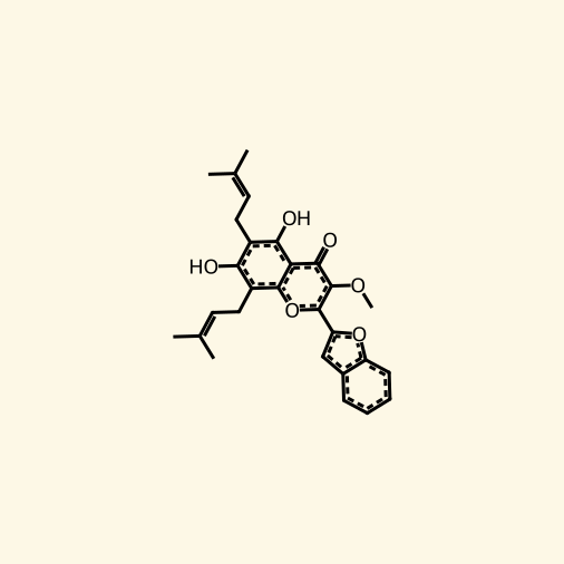 COc1c(-c2cc3ccccc3o2)oc2c(CC=C(C)C)c(O)c(CC=C(C)C)c(O)c2c1=O